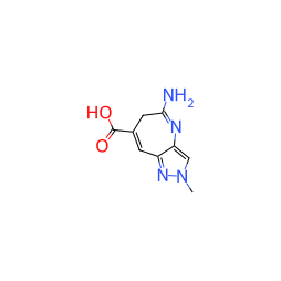 Cn1cc2c(n1)C=C(C(=O)O)CC(N)=N2